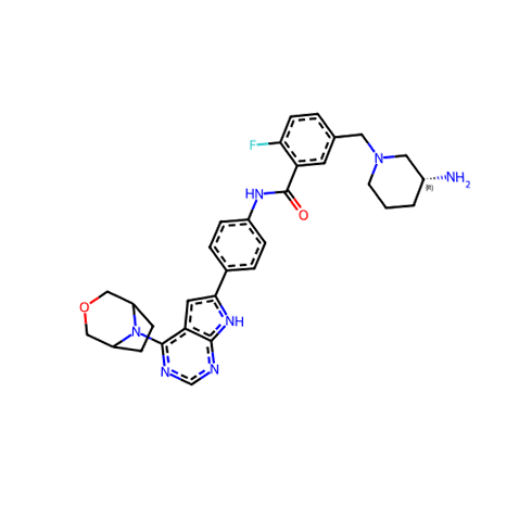 N[C@@H]1CCCN(Cc2ccc(F)c(C(=O)Nc3ccc(-c4cc5c(N6C7CCC6COC7)ncnc5[nH]4)cc3)c2)C1